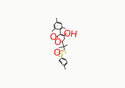 Cc1ccc([S+]([O-])CC(C)(C)C2CC(O)=C(c3c(C)cc(C)cc3C)C(=O)O2)cc1